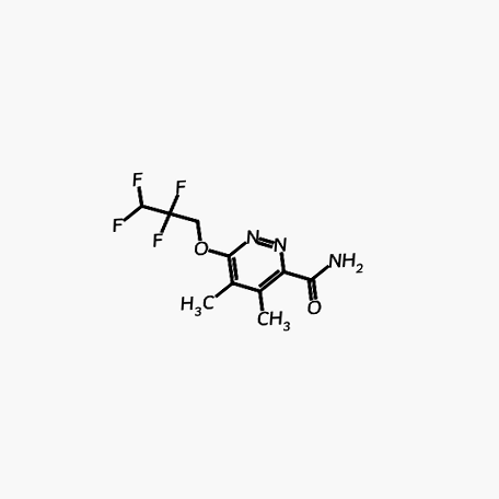 Cc1c(OCC(F)(F)C(F)F)nnc(C(N)=O)c1C